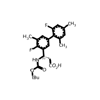 Cc1cc(C)c(-c2cc(C)c(F)c([C@H](CC(=O)O)NC(=O)OC(C)(C)C)c2)c(F)c1